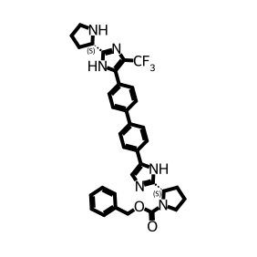 O=C(OCc1ccccc1)N1CCC[C@H]1c1ncc(-c2ccc(-c3ccc(-c4[nH]c([C@@H]5CCCN5)nc4C(F)(F)F)cc3)cc2)[nH]1